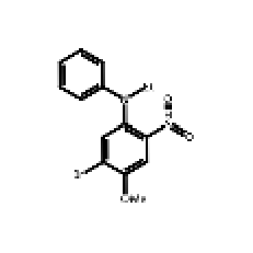 CCN(c1ccccc1)c1cc(Br)c(OC)cc1[SH](=O)=O